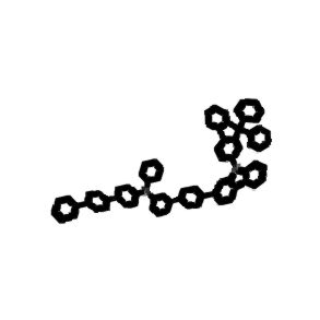 c1ccc(-c2ccc(-c3ccc(N(c4ccccc4)c4cccc(-c5ccc(-c6ccc7c8ccccc8n(-c8ccc9c(c8)C(c8ccccc8)(c8ccccc8)c8ccccc8-9)c7c6)cc5)c4)cc3)cc2)cc1